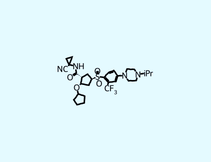 CC(C)N1CCN(c2ccc(S(=O)(=O)[C@H]3C[C@@H](OC4CCCC4)[C@H](C(=O)NC4(C#N)CC4)C3)c(C(F)(F)F)c2)CC1